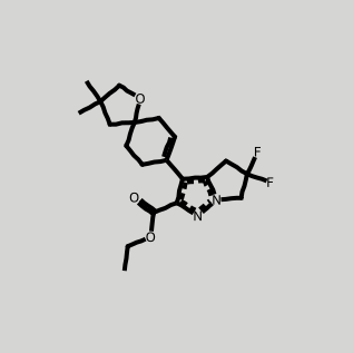 CCOC(=O)c1nn2c(c1C1=CCC3(CC1)CC(C)(C)CO3)CC(F)(F)C2